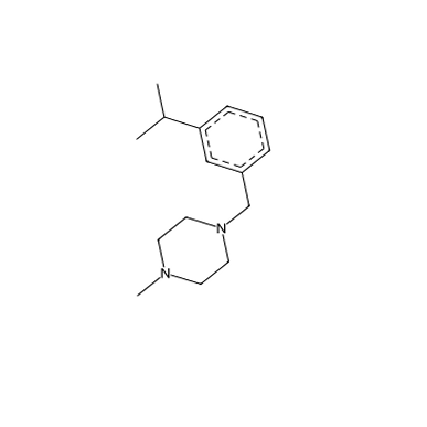 CC(C)c1cccc(CN2CCN(C)CC2)c1